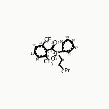 CC(C)CCP(=O)(C(=O)c1c(C(F)(F)F)cccc1C(F)(F)F)c1ccccc1